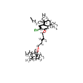 CC1(C)CCC(C)(C)c2cc(OCCCCCO[Si](C)(C)C(C)(C)C)c(Br)cc21